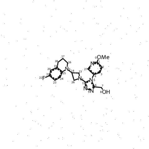 COc1ccc(-n2c(CO)nnc2N2CC(N3CCCc4cc(F)ccc43)C2)cn1